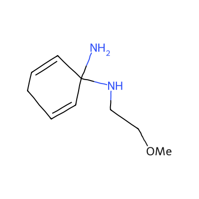 COCCNC1(N)C=CCC=C1